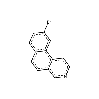 Brc1ccc2ccc3cnccc3c2c1